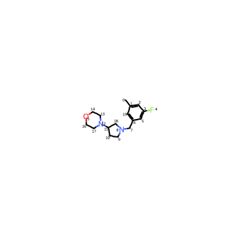 Cc1cc(F)cc(CN2CCC(N3CCOCC3)C2)c1